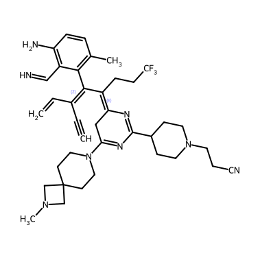 C#C/C(C=C)=C(\C(CCC(F)(F)F)=C1/CC(N2CCC3(CC2)CN(C)C3)=NC(C2CCN(CCC#N)CC2)=N1)c1c(C)ccc(N)c1C=N